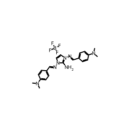 CN(C)c1ccc(C=Nn2cc[n+](N=Cc3ccc(N(C)C)cc3)c2N)cc1.F[B-](F)(F)F